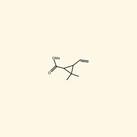 C=CC1C(C(=O)OC)C1(C)C